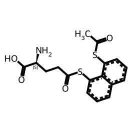 CC(=O)Sc1cccc2cccc(SC(=O)CC[C@H](N)C(=O)O)c12